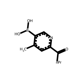 CCCC(=O)c1cc(C)c(B(O)O)cn1